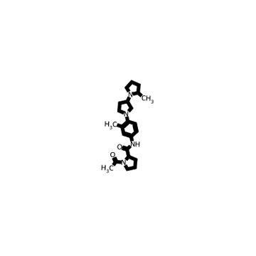 CC(=O)N1CCCC1C(=O)Nc1ccc(N2CCC(N3CCCC3C)C2)c(C)c1